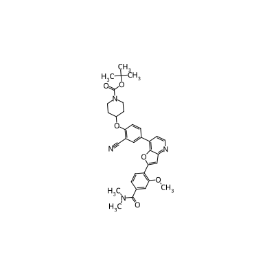 COc1cc(C(=O)N(C)C)ccc1-c1cc2nccc(-c3ccc(OC4CCN(C(=O)OC(C)(C)C)CC4)c(C#N)c3)c2o1